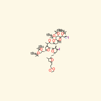 C=C1[C@@H](I)C[C@H](CC[C@@H]2O[C@@H](CCC3OCCO3)CC2C)O[C@@H]1C[C@@H]1O[C@H](CC(CO[Si](C)(C)C(C)(C)C)O[Si](C)(C)C(C)(C)C)C[C@H]1C(C)C(=O)C[C@H]1CC[C@@H]2O[C@H](C(/C=C/I)O[Si](C)(C)C(C)(C)C)C(O[Si](C)(C)C(C)(C)C)C(O[Si](C)(C)C(C)(C)C)C2O1